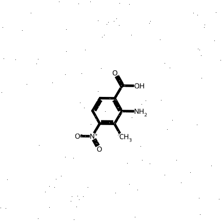 Cc1c([N+](=O)[O-])ccc(C(=O)O)c1N